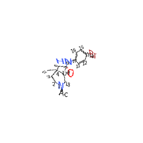 CC(=O)N1CCC(C)(CC(=O)Nc2ccc(Br)cc2)CC1